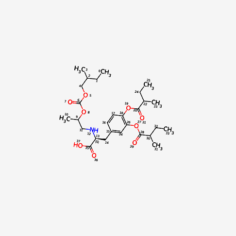 CCC(C)COC(=O)OC(C)CN[C@@H](Cc1ccc(OC(=O)C(C)CC)c(OC(=O)C(C)CC)c1)C(=O)O